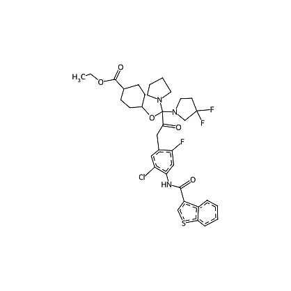 CCOC(=O)C1CCC(OC(C(=O)Cc2cc(Cl)c(NC(=O)c3csc4ccccc34)cc2F)(N2CCCC2)N2CCC(F)(F)C2)CC1